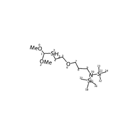 COC(OC)[SiH2]CCOCCCN([Si](C)(C)C)[Si](C)(C)C